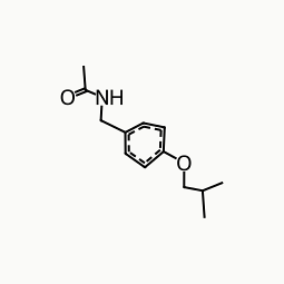 CC(=O)NCc1ccc(OCC(C)C)cc1